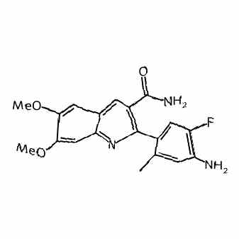 COc1cc2cc(C(N)=O)c(-c3cc(F)c(N)cc3C)nc2cc1OC